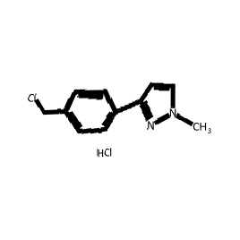 Cl.Cn1ccc(-c2ccc(CCl)cc2)n1